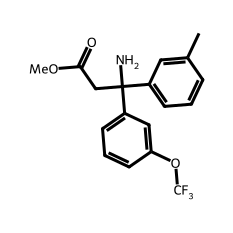 COC(=O)CC(N)(c1cccc(C)c1)c1cccc(OC(F)(F)F)c1